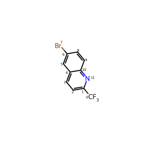 FC(F)(F)c1ccc2cc(Br)ccc2n1